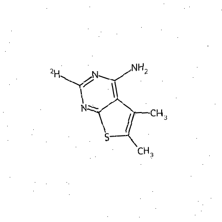 [2H]c1nc(N)c2c(C)c(C)sc2n1